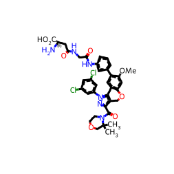 COc1cc2c(cc1-c1cccc(NC(=O)CNC(=O)C[C@@H](N)C(=O)O)c1)-c1c(c(C(=O)N3CCOCC3(C)C)nn1-c1cc(Cl)cc(Cl)c1)CO2